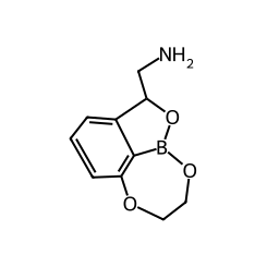 NCC1OB2OCCOc3cccc1c32